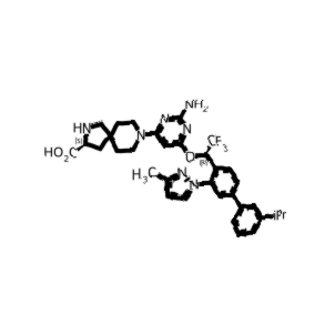 Cc1ccn(-c2cc(-c3cccc(C(C)C)c3)ccc2[C@@H](Oc2cc(N3CCC4(CC3)CN[C@H](C(=O)O)C4)nc(N)n2)C(F)(F)F)n1